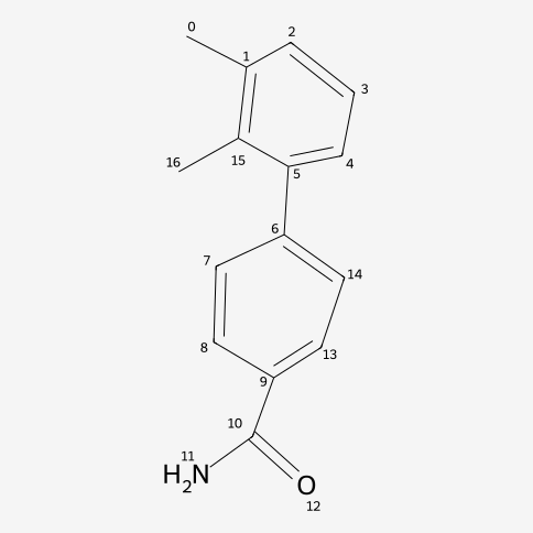 Cc1cccc(-c2ccc(C(N)=O)cc2)c1C